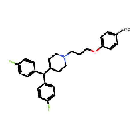 COc1ccc(OCCCN2CCC(C(c3ccc(F)cc3)c3ccc(F)cc3)CC2)cc1